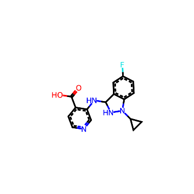 O=C(O)c1ccncc1NC1NN(C2CC2)c2ccc(F)cc21